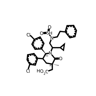 C[C@]1(CC(=O)O)CC(c2cccc(Cl)c2)[C@@H](c2ccc(Cl)cc2)N(C(CN(CCc2ccccc2)[SH](=O)=O)C2CC2)C1=O